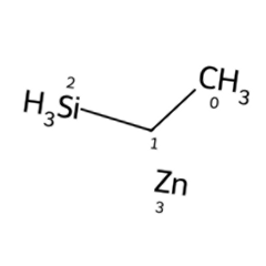 CC[SiH3].[Zn]